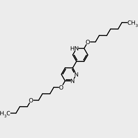 CCCCCCCOC1C=CC(c2ccc(OCCCCOCCCC)nn2)=CN1